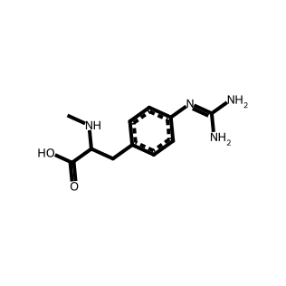 CNC(Cc1ccc(N=C(N)N)cc1)C(=O)O